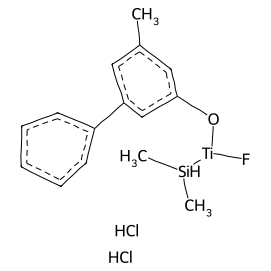 Cc1cc([O][Ti]([F])[SiH](C)C)cc(-c2ccccc2)c1.Cl.Cl